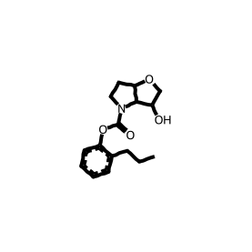 CCCc1ccccc1OC(=O)N1CCC2OCC(O)C21